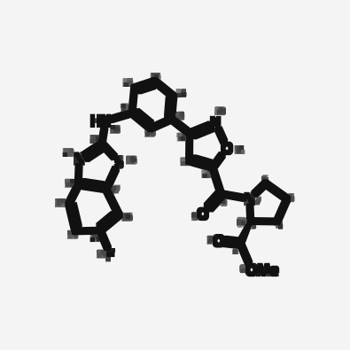 COC(=O)[C@@H]1CCCN1C(=O)c1cc(-c2cccc(Nc3nc4ccc(F)cc4s3)c2)no1